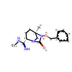 CCNC(=N)[C@@H]1CC[C@@H]2CN1C(=O)N2OCc1ccccc1